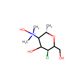 C[C@@H]1OC(CO)[C@@H](Cl)C(O)C1[N+](C)(C)O